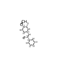 COc1ccc(C=C(F)c2ccccc2)cc1